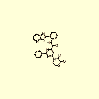 O=C1SCCN(c2cc(C(=O)Nc3ccccc3-c3nc4cccnc4s3)nc(-c3ccccc3)n2)C1=O